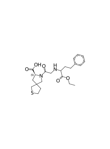 CCOC(=O)C(CCc1ccccc1)NCC(=O)N1CC2(CCSC2)C[C@H]1C(=O)O